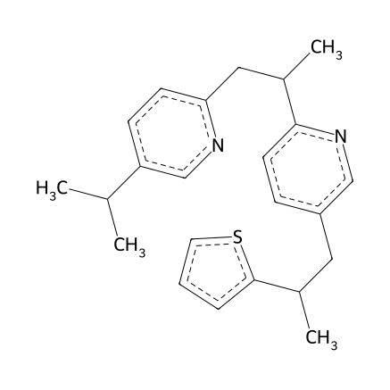 CC(C)c1ccc(CC(C)c2ccc(CC(C)c3cccs3)cn2)nc1